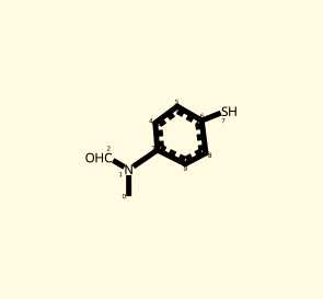 CN(C=O)c1ccc(S)cc1